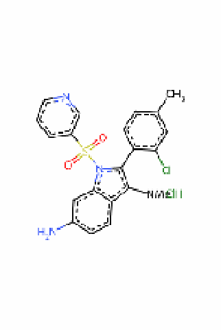 CNc1c(-c2ccc(C)cc2Cl)n(S(=O)(=O)c2cccnc2)c2cc(N)ccc12.Cl